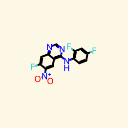 O=[N+]([O-])c1cc2c(Nc3ccc(F)cc3F)ncnc2cc1F